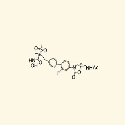 CC(=O)NC[C@@H]1CN(c2ccc(-c3ccc(CC[C@](C)(C(=O)NO)S(C)(=O)=O)cc3)c(F)c2)C(=O)O1